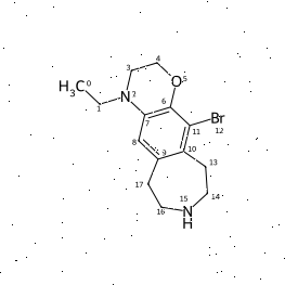 CCN1CCOc2c1cc1c(c2Br)CCNCC1